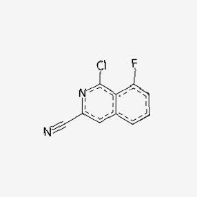 N#Cc1cc2cccc(F)c2c(Cl)n1